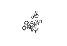 N#C[C@@H](C[C@H]1CCCNC1=O)NC(=O)[C@H]1[C@@H]2CC(F)(F)C[C@@H]2CN1C(=O)C1(O)c2ccccc2-c2ccccc21